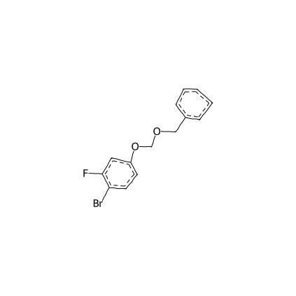 Fc1cc(OCOCc2ccccc2)ccc1Br